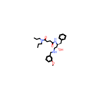 CCCN(CCC)C(=O)CCC(=O)N[C@@H](Cc1ccccc1)[C@H](O)CNCc1cccc(OC)c1